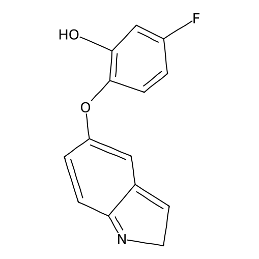 Oc1cc(F)ccc1Oc1ccc2c(c1)=CCN=2